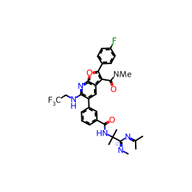 C/N=C(\N=C(C)C)C(C)(C)NC(=O)c1cccc(-c2cc3c(C(=O)NC)c(-c4ccc(F)cc4)oc3nc2NCC(F)(F)F)c1